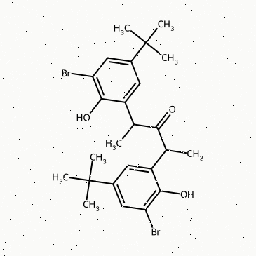 CC(C(=O)C(C)c1cc(C(C)(C)C)cc(Br)c1O)c1cc(C(C)(C)C)cc(Br)c1O